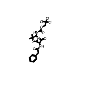 CC1(C)SC2C(NC(=O)Cc3ccccc3)C(=O)N2C1NC(=O)OCC(Cl)(Cl)Cl